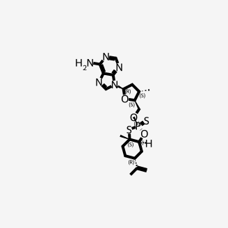 C=C(C)[C@@H]1CC[C@]2(C)S[P@@](=S)(OC[C@H]3O[C@@H](n4cnc5c(N)ncnc54)C[C@@H]3C)O[C@H]2C1